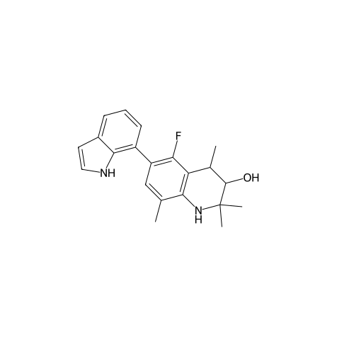 Cc1cc(-c2cccc3cc[nH]c23)c(F)c2c1NC(C)(C)C(O)C2C